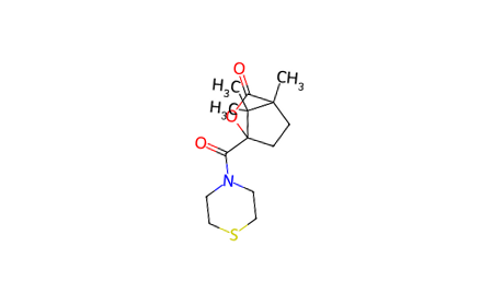 CC12CCC(C(=O)N3CCSCC3)(OC1=O)C2(C)C